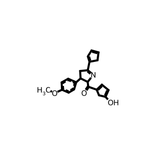 COc1ccc(C2CC(C3=CC=CC3)=NC2C(=O)C2=CC=C(O)C2)cc1